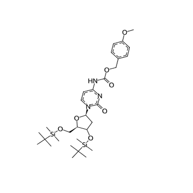 COc1ccc(COC(=O)Nc2ccn([C@H]3CC(O[Si](C)(C)C(C)(C)C)[C@@H](CO[Si](C)(C)C(C)(C)C)O3)c(=O)n2)cc1